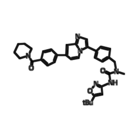 CN(Cc1ccc(-c2cnc3cc(-c4ccc(C(=O)N5CCCCC5)cc4)ccn23)cc1)C(=O)Nc1cc(C(C)(C)C)on1